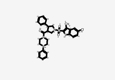 Cc1c(S(=O)(=O)N2CC(C(=O)N3CCN(c4ccccc4)CC3)C(c3ccccc3)C2)sc2ccc(Cl)cc12